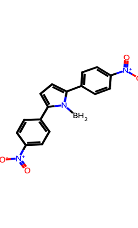 Bn1c(-c2ccc([N+](=O)[O-])cc2)ccc1-c1ccc([N+](=O)[O-])cc1